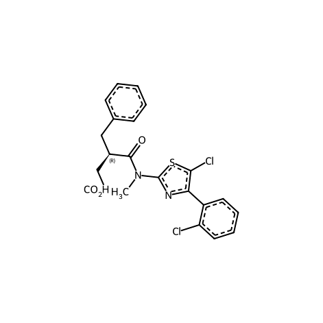 CN(C(=O)[C@@H](CC(=O)O)Cc1ccccc1)c1nc(-c2ccccc2Cl)c(Cl)s1